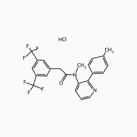 Cc1ccc(-c2ncccc2N(C)C(=O)Cc2cc(C(F)(F)F)cc(C(F)(F)F)c2)cc1.Cl